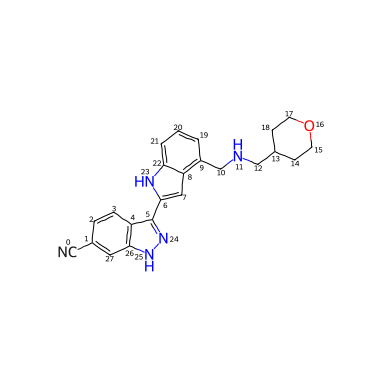 N#Cc1ccc2c(-c3cc4c(CNCC5CCOCC5)cccc4[nH]3)n[nH]c2c1